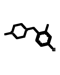 Cc1cc(Cl)ccc1CN1CCN(C)CC1